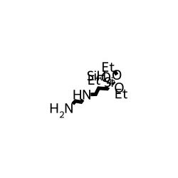 CCO[Si](CCCNCCN)(OCC)OCC.[SiH4]